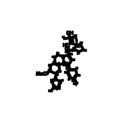 COc1cc2c(cc1-c1nnn(C)n1)-c1c(-c3ccc(F)cc3)cc(C(=O)N3CCC[C@@]3(C)[C@@H](O)C(C)(C)O)n1CC2